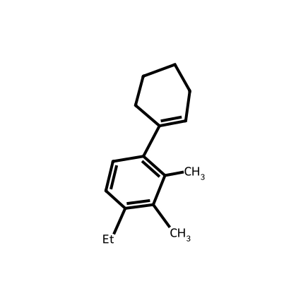 CCc1ccc(C2=CCCCC2)c(C)c1C